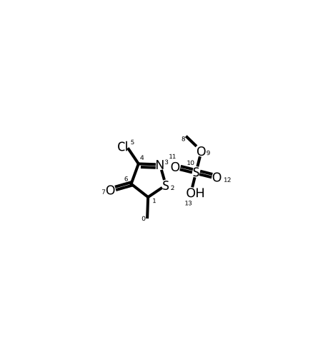 CC1SN=C(Cl)C1=O.COS(=O)(=O)O